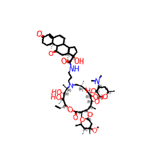 CC[C@H]1OC(=O)[C@H](C)[C@@H](O[C@@H]2C[C@](C)(OC)[C@H](C)C(C)O2)[C@H](C)[C@@H](O[C@@H]2O[C@H](C)C[C@@H](N(C)C)[C@H]2O)[C@](C)(O)C[C@@H](C)CN(CCCNC(=O)[C@@]2(O)CCC3C4CCC5=CC(=O)CC[C@]5(C)C4C(=O)C[C@@]32C)[C@H](C)[C@@H](O)[C@]1(C)O